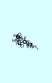 CC(C)n1c([C@@H]2C[C@H]2N)nc2c(F)cc(-c3nc(N[C@@H]4C[C@H]5CO[C@H](O5)[C@H]4O)ncc3Cl)cc21